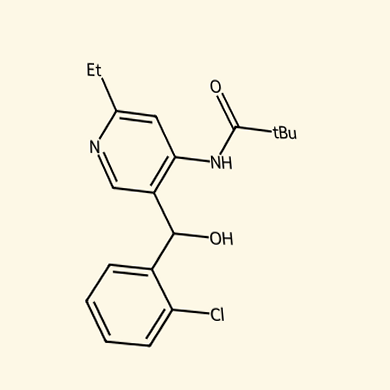 CCc1cc(NC(=O)C(C)(C)C)c(C(O)c2ccccc2Cl)cn1